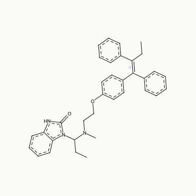 CC/C(=C(\c1ccccc1)c1ccc(OCCN(C)C(CC)n2c(=O)[nH]c3ccccc32)cc1)c1ccccc1